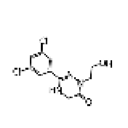 O=C1CNC(c2cc(Cl)cc(Cl)c2)=NN1CCO